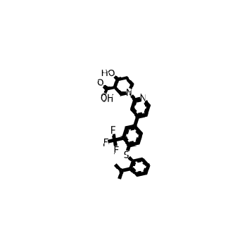 CC(C)c1ccccc1Sc1ccc(-c2ccnc(N3CCC(O)C(C(=O)O)C3)c2)cc1C(F)(F)F